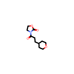 O=C(CCC1CCOCC1)N1CCOC1=O